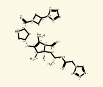 C[C@@H](NC(=O)Cn1cnnn1)[C@H]1C(=O)N2C(C(=O)O)=C(S[C@@H]3CN[C@H](C(=O)N4CC(n5nccn5)C4)C3)[C@H](C)[C@H]12